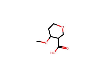 COC1CCOCC1C(=O)O